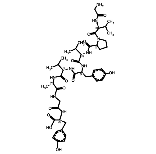 CC(C)[C@H](NC(=O)[C@H](Cc1ccc(O)cc1)NC(=O)[C@@H](NC(=O)[C@@H]1CCCN1C(=O)[C@@H](NC(=O)CN)C(C)C)C(C)C)C(=O)N[C@@H](C)C(=O)NCC(=O)N[C@@H](Cc1ccc(O)cc1)C(=O)O